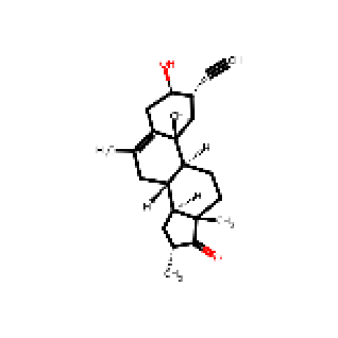 C#C[C@@H]1C[C@@]2(C)C(=C(C)C[C@@H]3[C@@H]2CC[C@]2(C)C(=O)[C@H](C)C[C@@H]32)C[C@H]1O